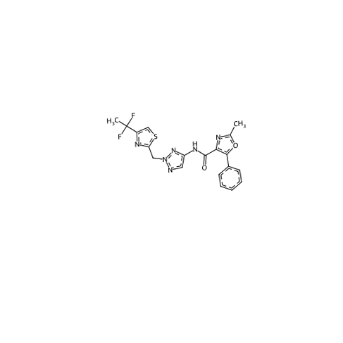 Cc1nc(C(=O)Nc2cnn(Cc3nc(C(C)(F)F)cs3)n2)c(-c2ccccc2)o1